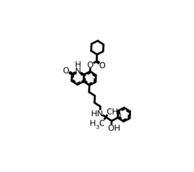 CC(C)(NCCCCc1ccc(OC(=O)C2CCCCC2)c2[nH]c(=O)ccc12)C(O)c1ccccc1